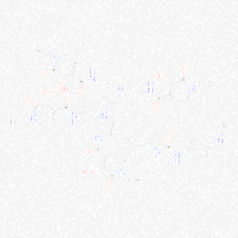 Cn1ccc(C(=O)NCCN(CCNC(=O)c2ccn(C)c(=O)c2O)CCN(CCNC(=O)c2ccn(C)c(=O)c2O)CC(CCCCNC(=O)Nc2ccc(N=C=S)cc2)NC(=O)c2ccn(C)c(=O)c2O)c(O)c1=O